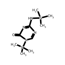 C[Si](C)(C)Nc1ncn([Si](C)(C)C)c(=O)n1